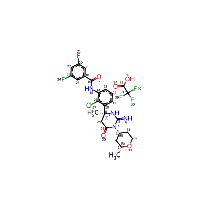 C[C@@H]1C[C@H](N2C(=N)N[C@](C)(c3cccc(NC(=O)c4cc(F)cc(F)c4)c3Cl)CC2=O)CCO1.O=C(O)C(F)(F)F